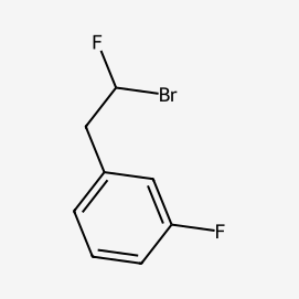 Fc1cccc(CC(F)Br)c1